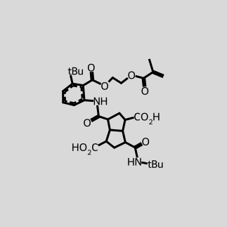 C=C(C)C(=O)OCCOC(=O)c1c(NC(=O)C2CC(C(=O)O)C3C(C(=O)NC(C)(C)C)CC(C(=O)O)C23)cccc1C(C)(C)C